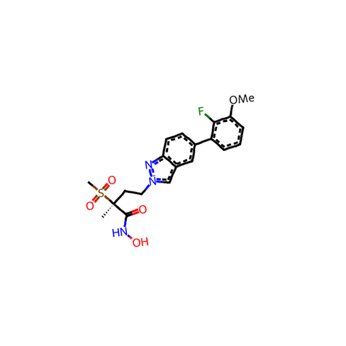 COc1cccc(-c2ccc3nn(CC[C@@](C)(C(=O)NO)S(C)(=O)=O)cc3c2)c1F